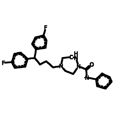 O=C([N]c1ccccc1)N1CCN(CCCC(c2ccc(F)cc2)c2ccc(F)cc2)CCN1